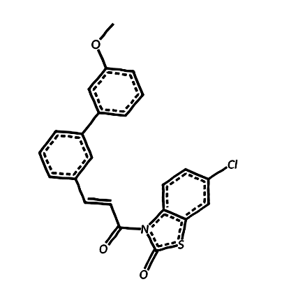 COc1cccc(-c2cccc(C=CC(=O)n3c(=O)sc4cc(Cl)ccc43)c2)c1